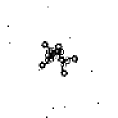 O=c1c(OP(=O)(OOCc2ccccc2)OOCc2ccccc2)c(-c2ccc(OCc3ccccc3)c(OCc3ccccc3)c2)oc2ccccc12